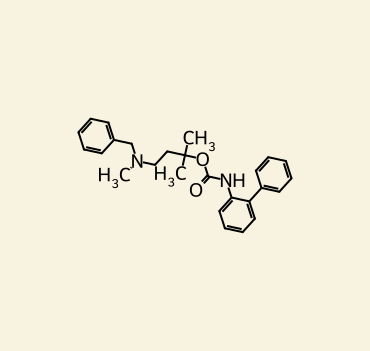 CN(CCC(C)(C)OC(=O)Nc1ccccc1-c1ccccc1)Cc1ccccc1